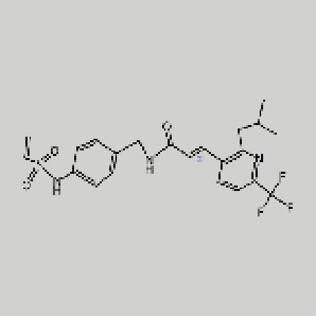 C=CS(=O)(=O)Nc1ccc(CNC(=O)/C=C/c2ccc(C(F)(F)F)nc2CC(C)C)cc1